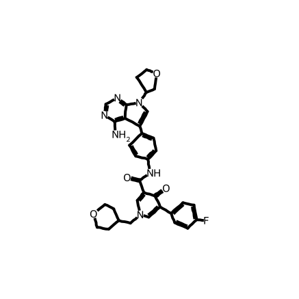 Nc1ncnc2c1c(-c1ccc(NC(=O)c3cn(CC4CCOCC4)cc(-c4ccc(F)cc4)c3=O)cc1)cn2C1CCOC1